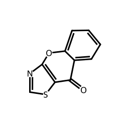 O=c1c2ccccc2oc2ncsc12